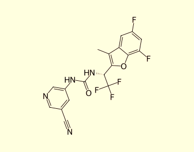 Cc1c([C@@H](NC(=O)Nc2cncc(C#N)c2)C(F)(F)F)oc2c(F)cc(F)cc12